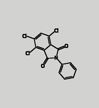 O=C1c2c(Cl)cc(Cl)c(Cl)c2C(=O)N1c1ccccc1